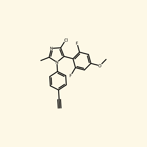 C#Cc1ccc(-n2c(C)nc(Cl)c2-c2c(F)cc(OC)cc2F)cc1